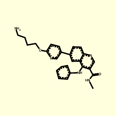 CNC(=O)c1cnc2ccc(-c3ccc(OCCCCN)nc3)cc2c1Nc1ccccc1